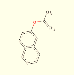 C=C(C)Oc1ccc2ccccc2c1